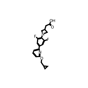 O=C(O)CC1CN(c2c(F)cc(-c3cccc(OCC4CC4)n3)cc2F)C1